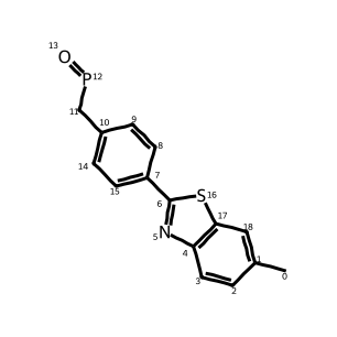 Cc1ccc2nc(-c3ccc(CP=O)cc3)sc2c1